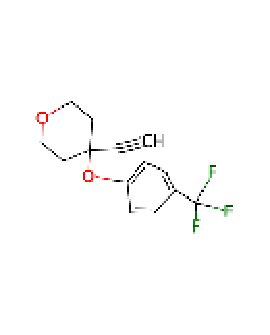 C#CC1(Oc2ccc(C(F)(F)F)cc2)CCOCC1